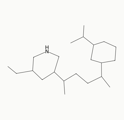 CCC1CNCC(C(C)CCC(C)C2CCCC(C(C)C)C2)C1